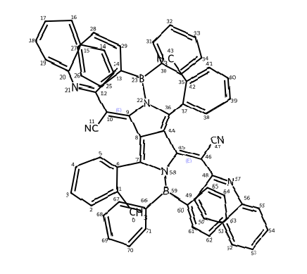 Cc1ccccc1-c1c2/c(=C(\C#N)c3ccc4ccccc4n3)n(B(c3ccccc3)c3ccccc3)c(-c3ccccc3C)c2/c(=C(\C#N)c2ccc3ccccc3n2)n1B(c1ccccc1)c1ccccc1